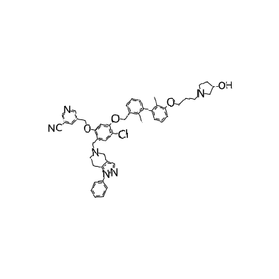 Cc1c(COc2cc(OCc3cncc(C#N)c3)c(CN3CCc4c(cnn4-c4ccccc4)C3)cc2Cl)cccc1-c1cccc(OCCCN2CCC(O)C2)c1C